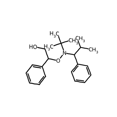 CC(C)C(c1ccccc1)N(OC(CO)c1ccccc1)C(C)(C)C